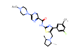 CC(=O)ON1CCN(c2cnc(C(=O)Nc3nc(-c4cc(F)cc(C(F)(F)F)c4)c(CN4[C@H](C)CC[C@H]4C)s3)cn2)CC1